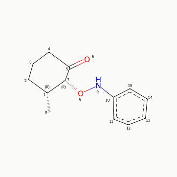 C[C@@H]1CCCC(=O)[C@@H]1ONc1ccccc1